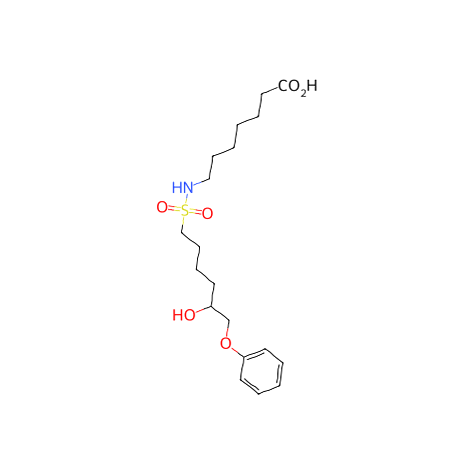 O=C(O)CCCCCCNS(=O)(=O)CCCCC(O)COc1ccccc1